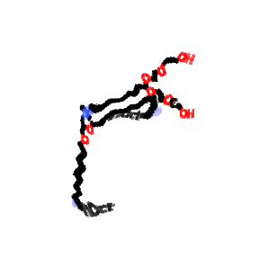 CCCCCCCC/C=C\CCCCCCCCOCC(C[N+](C)(C)CCCCCCCC(OCCOCCO)OCCOCCO)OCCCCCCCC/C=C\CCCCCCCC